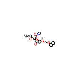 CCCc1c(OCCCOc2cccc3c2CCCC3)ccc2c1OC(CCC(=O)OC)(CCC(=O)N1CCCC1)CC2=O